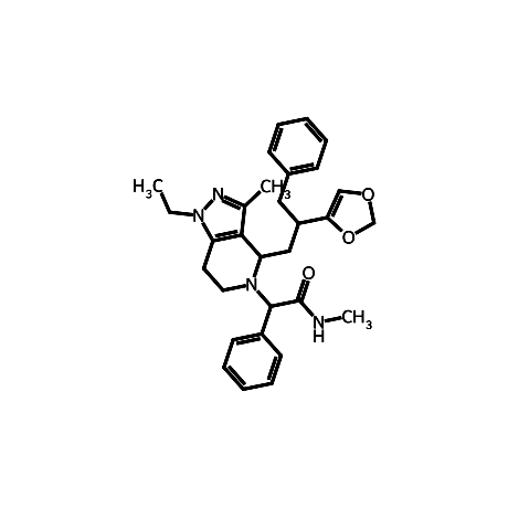 CCn1nc(C)c2c1CCN(C(C(=O)NC)c1ccccc1)C2CC(Cc1ccccc1)C1=COCO1